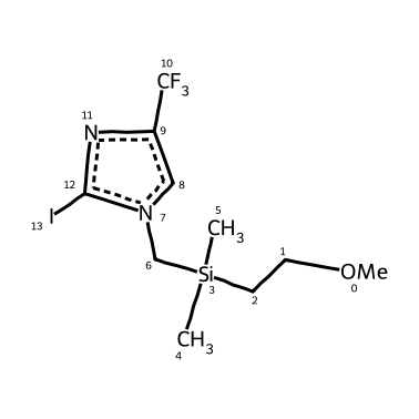 COCC[Si](C)(C)Cn1cc(C(F)(F)F)nc1I